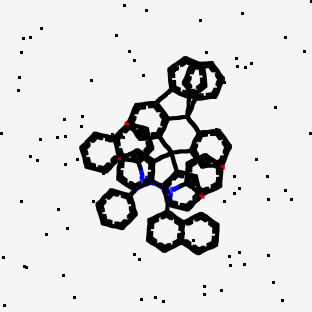 c1ccc(N(c2ccccc2C2(c3ccccc3N(c3ccccc3)c3cccc4ccccc34)c3ccccc3C3(c4ccccc4)c4ccccc4-c4cccc2c43)c2cccc3ccccc23)cc1